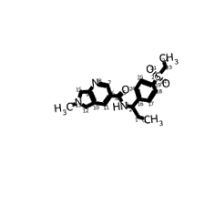 CCC(NC(=O)c1cnc2c(c1)CN(C)C2)c1ccc(S(=O)(=O)CC)cc1